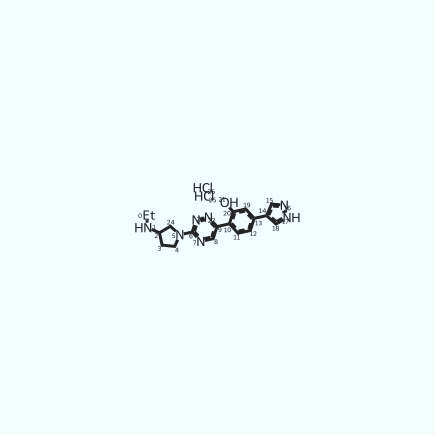 CCNC1CCN(c2ncc(-c3ccc(-c4cn[nH]c4)cc3O)nn2)C1.Cl.Cl